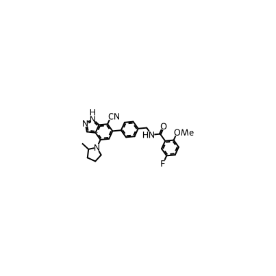 COc1ccc(F)cc1C(=O)NCc1ccc(-c2cc(N3CCCC3C)c3cn[nH]c3c2C#N)cc1